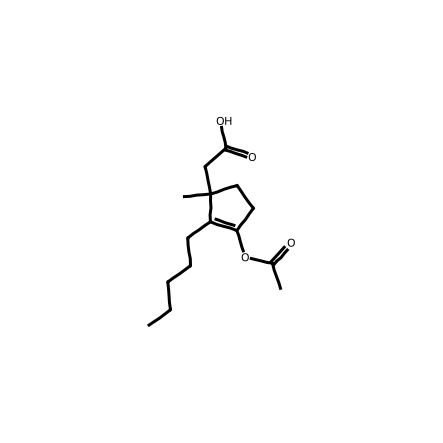 CCCCCC1=C(OC(C)=O)CCC1(C)CC(=O)O